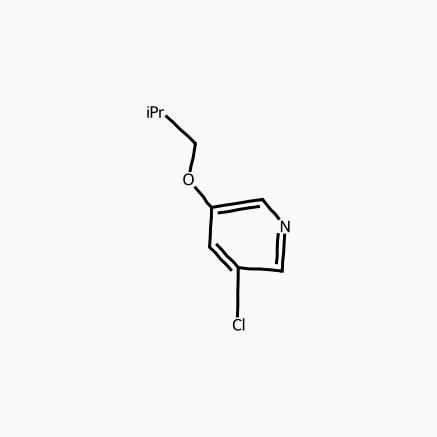 CC(C)COc1cncc(Cl)c1